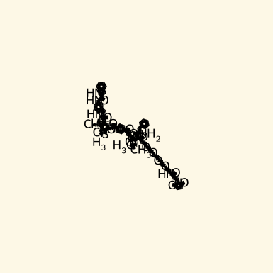 Cc1csc2c(OC(=O)N3CCN(C(=O)CNC(=O)[C@H](CC(C)C)N(C(=O)CCOCCOCCOCCOCCNC(=O)CCN4C(=O)C=CC4=O)C(=O)[C@@H](N)Cc4ccccc4)CC3)cc3c(c12)[C@H](CCl)CN3C(=O)c1cc2cc(NC(=O)c3cc4ccccc4[nH]3)ccc2[nH]1